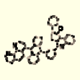 c1cc(-c2c3ccccc3c(-c3ccnc4c3ccc3cccnc34)c3ccccc23)cc(-c2nc3ccccc3c3c2ccc2c4ccccc4oc23)c1